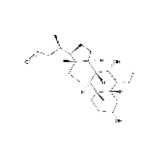 CC[C@H]1[C@@H](O)[C@@H]2[C@H](CC[C@]3(C)[C@@H]([C@H](C)CC=O)CC[C@@H]23)[C@@]2(C)CC[C@@H](O)C[C@@H]12